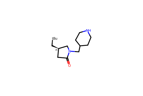 CC(C)(C)C[C@@H]1CC(=O)N(CC2CCNCC2)C1